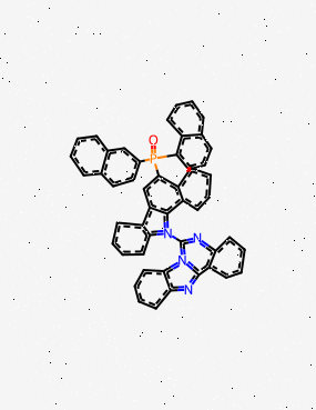 O=P(c1ccc2ccccc2c1)(c1cccc2ccccc12)c1cc2c3ccccc3n(-c3nc4ccccc4c4nc5ccccc5n34)c2c2ccccc12